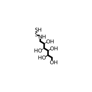 OC[C@@H](O)[C@@H](O)[C@H](O)[C@@H](O)CNSS